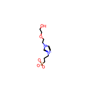 O=S(=O)([O-])CCC[n+]1ccn(CCOCCO)c1